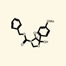 COc1ccc(C2(O)OCN(C(=O)OCc3ccccc3)[C@H]2C)cc1